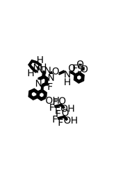 O=C(NCCOc1nc(N2C[C@H]3CC[C@@H](C2)N3)c2cnc(-c3cc(O)cc4ccccc34)c(F)c2n1)c1ccccc1S(=O)(=O)F.O=C(O)C(F)(F)F.O=C(O)C(F)(F)F